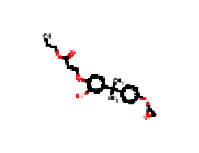 CCCOC(=O)C=COc1ccc(C(C)(C)c2ccc(OC3CO3)cc2)cc1O